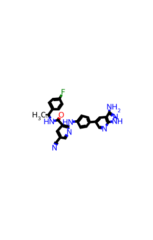 C[C@H](NC(=O)c1cc(C#N)cnc1Nc1ccc(-c2cnc3[nH]nc(N)c3c2)cc1)c1ccc(F)cc1